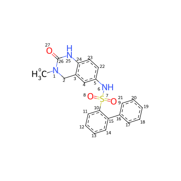 CN1Cc2cc(NS(=O)(=O)c3ccccc3-c3ccccc3)ccc2NC1=O